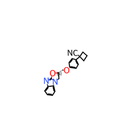 N#CC1(c2ccc(OC[C@@H]3Cn4c(nc5ccccc54)O3)cc2)CCC1